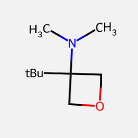 CN(C)C1(C(C)(C)C)COC1